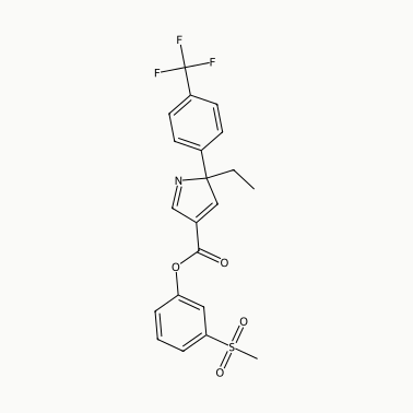 CCC1(c2ccc(C(F)(F)F)cc2)C=C(C(=O)Oc2cccc(S(C)(=O)=O)c2)C=N1